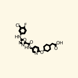 O=C(O)CC1CCC(Oc2ccc(NC(=O)c3nnc(Nc4ccc(F)c(Cl)c4)o3)cn2)CC1